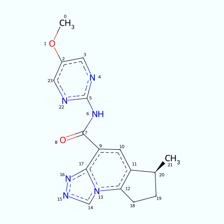 COc1cnc(NC(=O)c2cc3c(n4cnnc24)CC[C@@H]3C)nc1